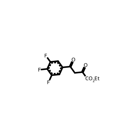 CCOC(=O)C(=O)CC(=O)c1cc(F)c(F)c(F)c1